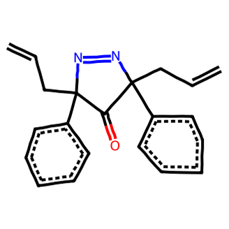 C=CCC1(c2ccccc2)N=NC(CC=C)(c2ccccc2)C1=O